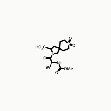 COC(=O)N[C@H](C(=O)N1CC2(CCS(=O)(=O)CC2)CC1C(=O)O)C(C)C